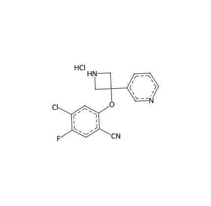 Cl.N#Cc1cc(F)c(Cl)cc1OC1(c2cccnc2)CNC1